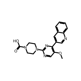 COc1cnc(N2CCN(C(=O)O)CC2)nc1-c1cnc2ccccc2c1